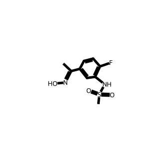 CC(=NO)c1ccc(F)c(NS(C)(=O)=O)c1